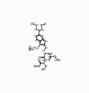 CNC(=O)[C@H](CC(C)C)NC(=O)[C@H](CCc1nc2cc(N(CCCl)CCCl)ccc2n1C)NC(=O)OC(C)(C)C.Cl.Cl